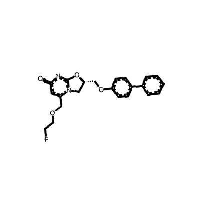 O=c1cc(COCCF)n2c(n1)O[C@H](COc1ccc(-c3ccccc3)cc1)C2